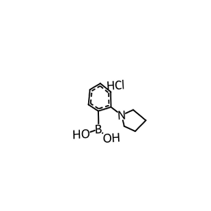 Cl.OB(O)c1ccccc1N1CCCC1